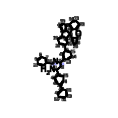 NC(/C=C(\N=C\c1ccccc1)c1cccc(-c2ccc3c(c2)C2(c4ccccc4Oc4ccccc42)c2ccccc2-3)c1)c1ccc(-c2ccccc2)cc1